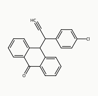 C#CC(c1ccc(Cl)cc1)C1c2ccccc2C(=O)c2ccccc21